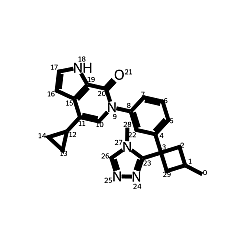 CC1CC(c2cccc(-n3cc(C4CC4)c4cc[nH]c4c3=O)c2)(c2nncn2C)C1